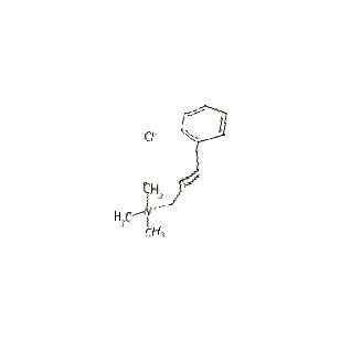 C[N+](C)(C)CC=Cc1ccccc1.[Cl-]